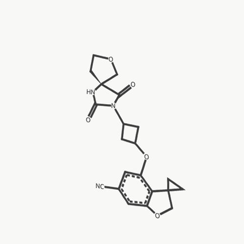 N#Cc1cc2c(c(OC3CC(N4C(=O)N[C@@]5(CCOC5)C4=O)C3)c1)C1(CC1)CO2